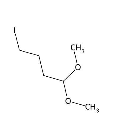 COC(CCCI)OC